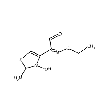 CCO/N=C(\[C]=O)C1=CSC(N)N1O